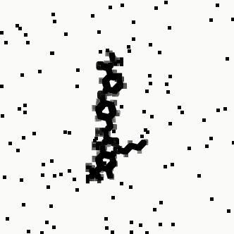 CCCCOc1cc(C)c(C(F)(F)F)cc1NC(=O)NCc1ccc(Oc2ccnc(C(=O)NC)c2)cc1